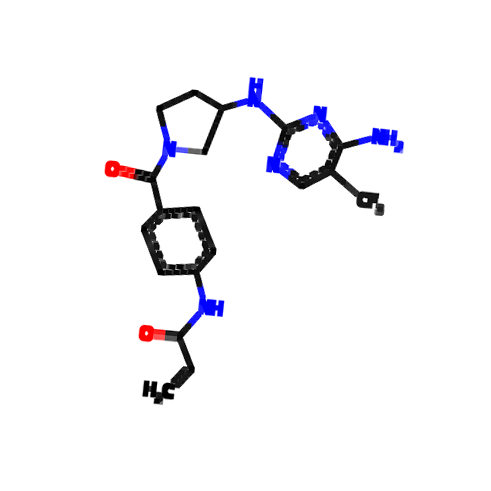 C=CC(=O)Nc1ccc(C(=O)N2CCC(Nc3ncc(C(F)(F)F)c(N)n3)C2)cc1